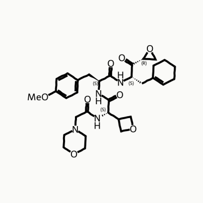 COc1ccc(C[C@H](NC(=O)[C@@H](NC(=O)CN2CCOCC2)C2COC2)C(=O)N[C@@H](CC2=CCCCC2)C(=O)[C@H]2CO2)cc1